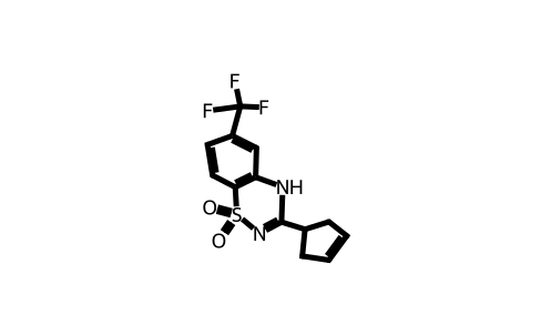 O=S1(=O)N=C(C2CC=CC2)Nc2cc(C(F)(F)F)ccc21